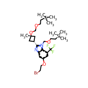 C[Si](C)(C)CCOCO[C@]1(C)C[C@H](c2nc3cc(OCCBr)cc(C(F)(F)F)c3n2COCC[Si](C)(C)C)C1